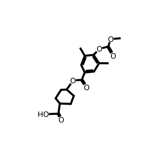 COC(=O)Oc1c(C)cc(C(=O)OC2CCC(C(=O)O)CC2)cc1C